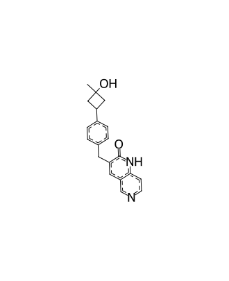 CC1(O)CC(c2ccc(Cc3cc4cnccc4[nH]c3=O)cc2)C1